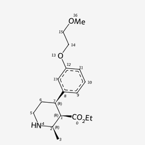 CCOC(=O)[C@H]1[C@@H](C)NCC[C@H]1c1cccc(OCCOC)c1